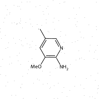 [CH2]c1cnc(N)c(OC)c1